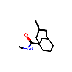 CNC(=O)C12CCCC(CC(C)C1)C2